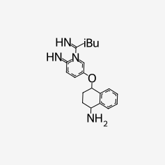 CCC(C)C(=N)n1cc(OC2CCC(N)c3ccccc32)ccc1=N